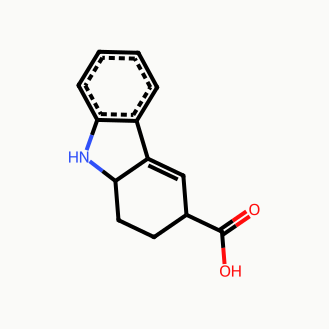 O=C(O)C1C=C2c3ccccc3NC2CC1